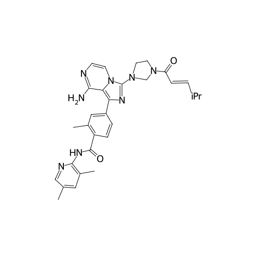 Cc1cnc(NC(=O)c2ccc(-c3nc(N4CCN(C(=O)/C=C/C(C)C)C4)n4ccnc(N)c34)cc2C)c(C)c1